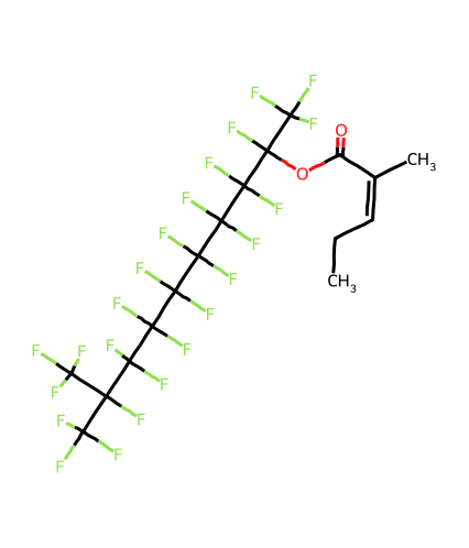 CCC=C(C)C(=O)OC(F)(C(F)(F)F)C(F)(F)C(F)(F)C(F)(F)C(F)(F)C(F)(F)C(F)(F)C(F)(C(F)(F)F)C(F)(F)F